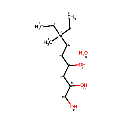 CC[Si](C)(CC)CCC(O)CC(O)CO.O